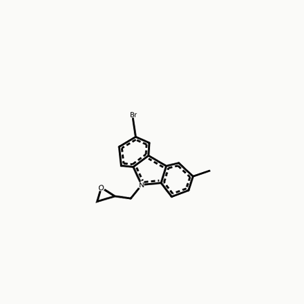 Cc1ccc2c(c1)c1cc(Br)ccc1n2CC1CO1